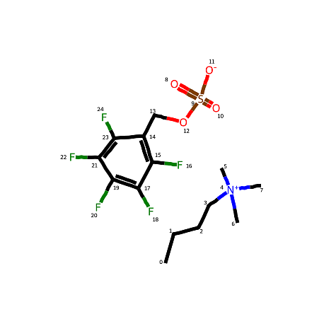 CCCC[N+](C)(C)C.O=S(=O)([O-])OCc1c(F)c(F)c(F)c(F)c1F